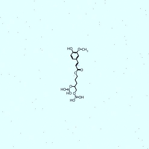 COc1cc(/C=C/C(=O)OCCCC(CON(O)O)ON(O)O)ccc1O